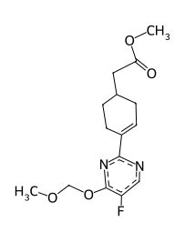 COCOc1nc(C2=CCC(CC(=O)OC)CC2)ncc1F